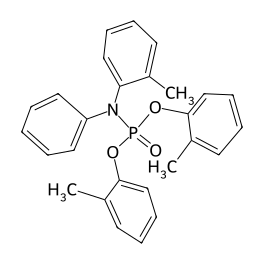 Cc1ccccc1OP(=O)(Oc1ccccc1C)N(c1ccccc1)c1ccccc1C